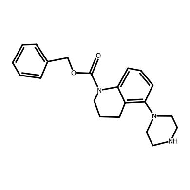 O=C(OCc1ccccc1)N1CCCc2c(N3CCNCC3)cccc21